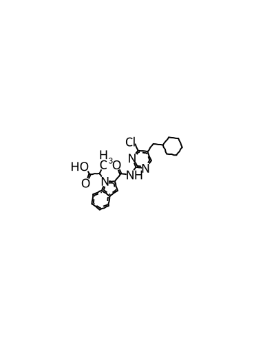 CC(C(=O)O)n1c(C(=O)Nc2ncc(CC3CCCCC3)c(Cl)n2)cc2ccccc21